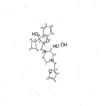 Cl.Cl.O=C(CN1CCN(Cc2ccco2)CC1)C(O)(c1ccccc1)C1CCC1